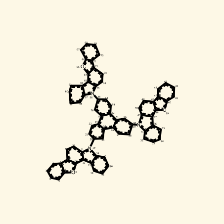 c1ccc2c(c1)oc1c2ccc2c1c1ccccc1n2-c1ccc2c(c1)c1ccc(-n3c4ccccc4c4c5oc6ccccc6c5ccc43)cc1c1ccc(-n3c4ccccc4c4c5oc6ccccc6c5ccc43)cc21